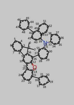 CC1(C)c2ccccc2-c2cc3c(oc4c(-c5ccccc5)cccc43)c(-c3cccc(N(c4ccccc4)c4ccc(-c5ccccc5)c5ccccc45)c3)c21